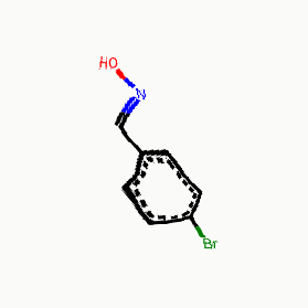 O/N=C/c1ccc(Br)cc1